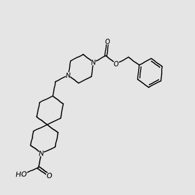 O=C(O)N1CCC2(CCC(CN3CCN(C(=O)OCc4ccccc4)CC3)CC2)CC1